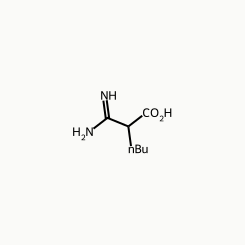 CCCCC(C(=N)N)C(=O)O